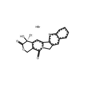 Br.CC[C@@]1(O)C(=O)OCc2c1cc1n(c2=O)Cc2cc3ccccc3nc2-1